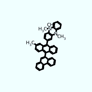 Cc1ccc2c(-c3cc4ccccc4c4ccccc34)c3ccccc3c(-c3ccc4c(c3)N(C)c3ccccc3[Si]4(C)C)c2c1